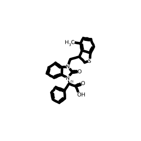 Cc1cccc2c1C(Cn1c(=O)n([C@H](C(=O)O)c3ccccc3)c3ccccc31)CS2